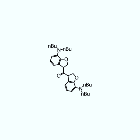 CCCCN(CCCC)c1cccc2c1OCC2C(=O)C1COc2c1cccc2N(CCCC)CCCC